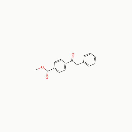 COC(=O)c1ccc(C(=O)Cc2ccccc2)cc1